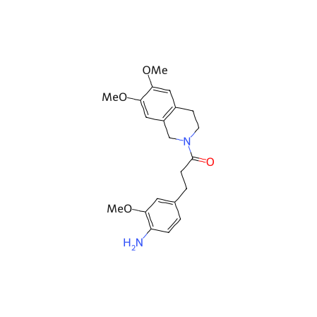 COc1cc(CCC(=O)N2CCc3cc(OC)c(OC)cc3C2)ccc1N